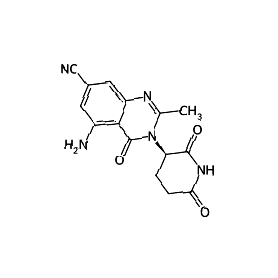 Cc1nc2cc(C#N)cc(N)c2c(=O)n1[C@@H]1CCC(=O)NC1=O